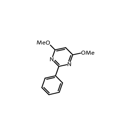 COc1cc(OC)nc(-c2ccccc2)n1